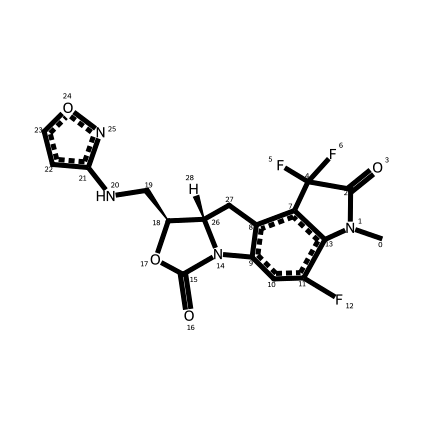 CN1C(=O)C(F)(F)c2c3c(cc(F)c21)N1C(=O)O[C@@H](CNc2ccon2)[C@@H]1C3